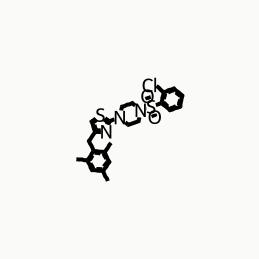 Cc1cc(C)c(Cc2csc(N3CCN(S(=O)(=O)c4ccccc4Cl)CC3)n2)c(C)c1